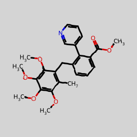 COC(=O)c1cccc(Cc2c(C)c(OC)c(OC)c(OC)c2OC)c1-c1cccnc1